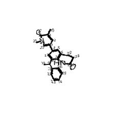 Cc1cc(-c2cc3c(c(C(C)c4ccccc4)c2)NC(=O)CC3)cn(C)c1=O